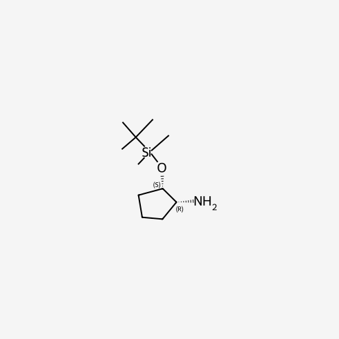 CC(C)(C)[Si](C)(C)O[C@H]1CCC[C@H]1N